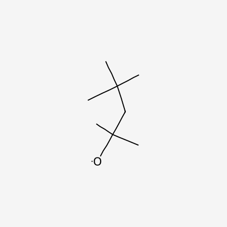 CC(C)(C)CC(C)(C)[O]